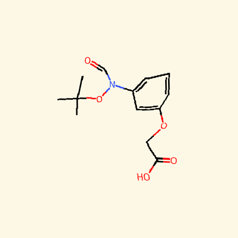 CC(C)(C)ON(C=O)c1cccc(OCC(=O)O)c1